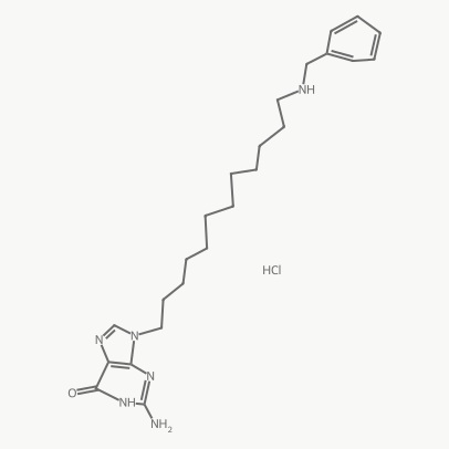 Cl.Nc1nc2c(ncn2CCCCCCCCCCCCNCc2ccccc2)c(=O)[nH]1